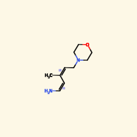 CC(/C=C\N)=C/CN1CCOCC1